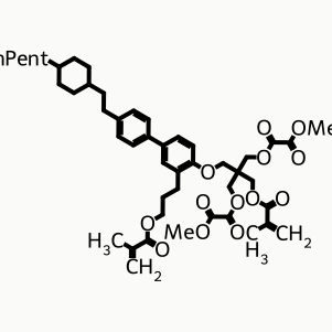 C=C(C)C(=O)OCCCc1cc(-c2ccc(CCC3CCC(CCCCC)CC3)cc2)ccc1OCC(COC(=O)C(=C)C)(COC(=O)C(=O)OC)COC(=O)C(=O)OC